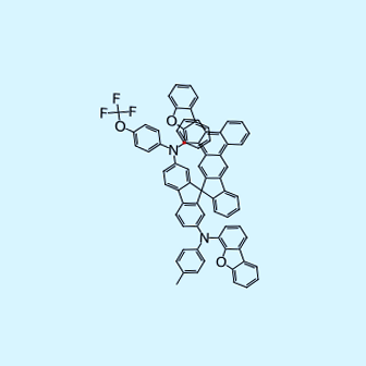 Cc1ccc(N(c2ccc3c(c2)C2(c4ccccc4-c4cc5c6ccccc6c6ccccc6c5cc42)c2cc(N(c4ccc(OC(F)(F)F)cc4)c4cccc5c4oc4ccccc45)ccc2-3)c2cccc3c2oc2ccccc23)cc1